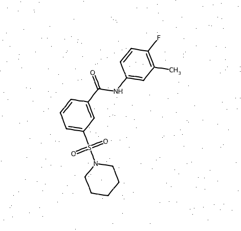 Cc1cc(NC(=O)c2cccc(S(=O)(=O)N3CCCCC3)c2)ccc1F